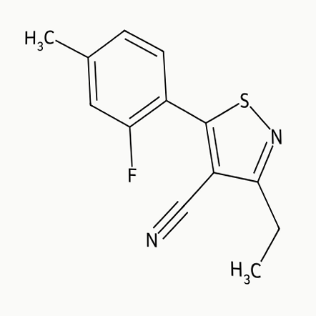 CCc1nsc(-c2ccc(C)cc2F)c1C#N